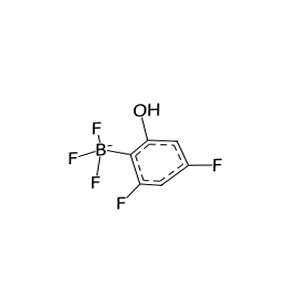 Oc1cc(F)cc(F)c1[B-](F)(F)F